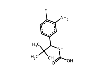 CC(C)(C)C(NC(=O)O)c1ccc(F)c(N)c1